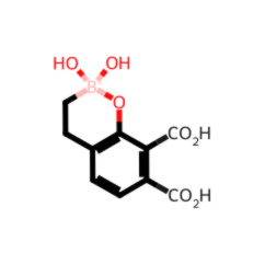 O=C(O)c1ccc2c(c1C(=O)O)O[B-](O)(O)CC2